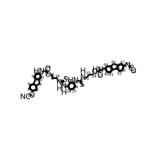 N#COc1ccc2c(c1)Cc1cc(NC(=O)OCCCNC(=S)Nc3cccc(NC(=S)NCCCOC(=O)Nc4ccc5c(c4)Cc4cc(N=C=O)ccc4-5)c3)ccc1-2